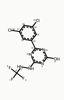 Oc1nc(NNC(F)(F)F)nc(-c2cc(Cl)cc(Cl)c2)n1